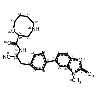 Cn1c(=O)oc2ccc(-c3ccc(C[C@@H](C#N)NC(=O)[C@@H]4CNCCCCO4)cc3)cc21